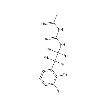 [2H]c1cccc(C([2H])([2H])C([2H])([2H])NC(=N)NC(C)=N)c1[2H]